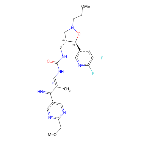 COCCN1C[C@@H](CNC(=O)N/C=C(\C)C(=N)c2cnc(COC)nc2)[C@H](c2cnc(F)c(F)c2)O1